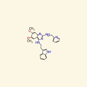 COc1cc2nc(NCCc3ccccn3)nc(NCCc3c[nH]c4ccccc34)c2cc1OC